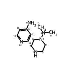 CN(C)N1CCNCC1.Nc1ccncc1